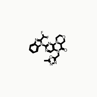 Cc1nnc(CN2C(=O)C3COCCN3c3nc(-n4c(C(F)F)nc5ccccc54)ncc32)o1